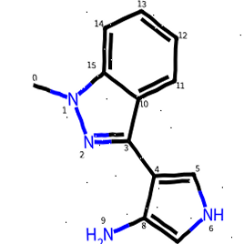 Cn1nc(-c2c[nH]cc2N)c2ccccc21